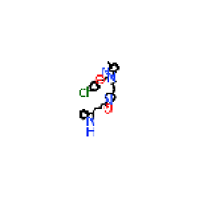 Cc1cccc2c1nc(COc1ccc(Cl)cc1)n2CCCC1CCN(C(=O)CCCc2c[nH]c3ccccc23)CC1